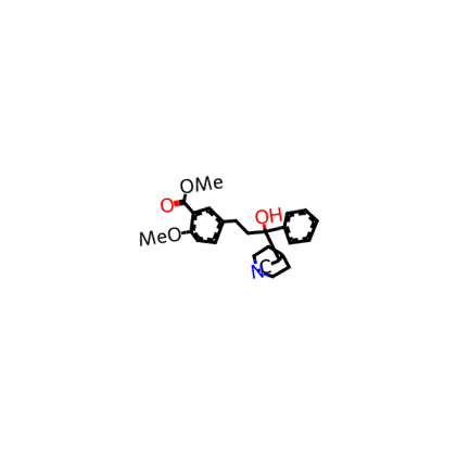 COC(=O)c1cc(CCC(O)(c2ccccc2)C2CN3CCC2CC3)ccc1OC